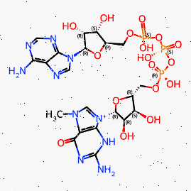 Cn1c[n+]([C@@H]2O[C@H](CO[P@@](=O)(O)O[P@@](=O)(O)O[P@@](=O)(O)OC[C@H]3O[C@@H](n4cnc5c(N)ncnc54)[C@H](O)[C@@H]3O)[C@@H](O)[C@H]2O)c2[nH]c(N)nc(=O)c21